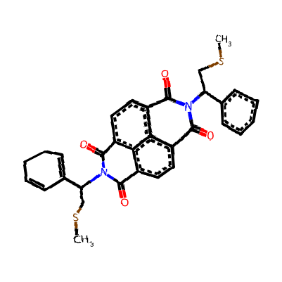 CSCC(C1=CCCC=C1)N1C(=O)c2ccc3c4c(ccc(c24)C1=O)C(=O)N(C(CSC)c1ccccc1)C3=O